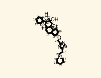 CC[C@@]12CC(C)(O)[C@](O)(c3ccccc3)C[C@H]1CCc1cc(OCc3noc(CCN4CCCCC4)n3)ccc12